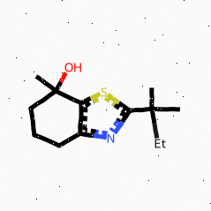 CCC(C)(C)c1nc2c(s1)C(C)(O)CCC2